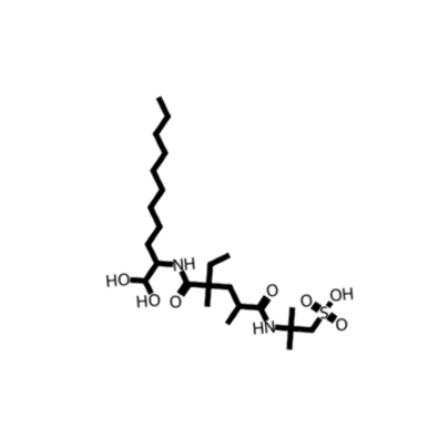 CCCCCCCCCC(NC(=O)C(C)(CC)CC(C)C(=O)NC(C)(C)CS(=O)(=O)O)C(O)O